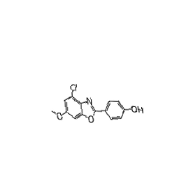 COc1cc(Cl)c2nc(-c3ccc(O)cc3)oc2c1